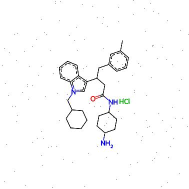 Cc1cccc(CC(CC(=O)NC2CCC(N)CC2)c2cn(CC3CCCCC3)c3ccccc23)c1.Cl